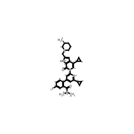 C[C@H]1CCCN(Cc2cc3c(C4CC4)cn(-c4cc(-c5ccc(F)cc5C(=O)N(C)C)cc(C5CC5)n4)c(=O)c3[nH]2)C1